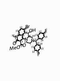 COC(=O)c1c(N2CCN(C(c3ccc(F)cc3)c3ccc(F)cc3)C[C@@H]2CO)c2cc(Br)ccc2n(C)c1=O